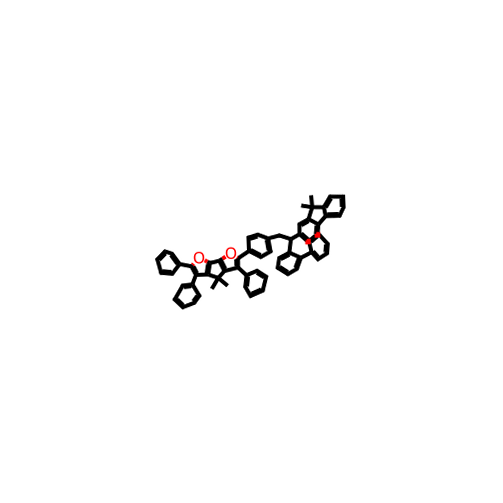 CC1(C)c2ccccc2-c2ccc(C(Cc3ccc(-c4oc5c(c4-c4ccccc4)C(C)(C)c4c-5oc(-c5ccccc5)c4-c4ccccc4)cc3)c3ccccc3-c3ccccc3)cc21